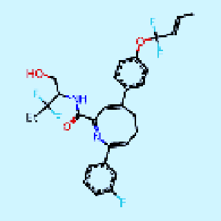 C/C=C/C(F)(F)Oc1ccc(/C2=C/C(C(=O)N[C@H](CO)C(F)(F)CC)=N\C(c3cccc(F)c3)=C/CC2)cc1